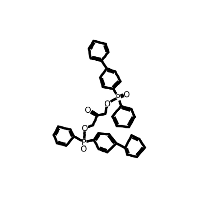 O=C(COP(=O)(c1ccccc1)c1ccc(-c2ccccc2)cc1)COP(=O)(c1ccccc1)c1ccc(-c2ccccc2)cc1